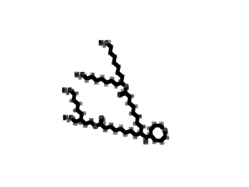 CCCCCCCCC(CCCCCCCC)OC(=O)CCCCCCCC(CCCCCCCC(=O)OCCC(CC)CCCCCC)NC1CCCOCCC1